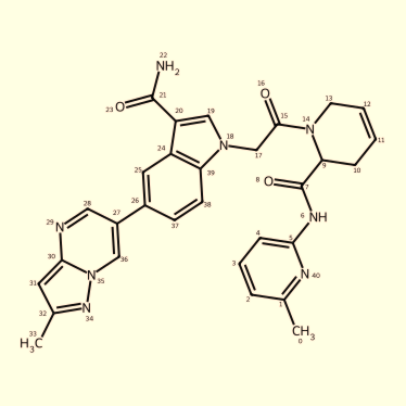 Cc1cccc(NC(=O)C2CC=CCN2C(=O)Cn2cc(C(N)=O)c3cc(-c4cnc5cc(C)nn5c4)ccc32)n1